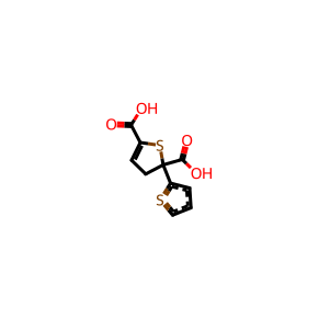 O=C(O)C1=CCC(C(=O)O)(c2cccs2)S1